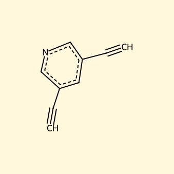 C#Cc1cncc(C#C)c1